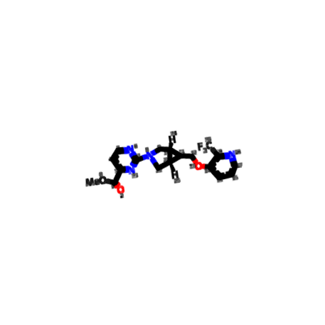 COC(=O)c1ccnc(N2C[C@@H]3C(COc4cccnc4C(F)(F)F)[C@@H]3C2)n1